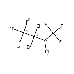 FC(F)(F)C(Cl)C(Cl)(Br)C(F)(F)F